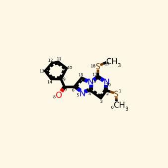 CSc1cc2nc(C(=O)c3ccccc3)cn2c(SC)n1